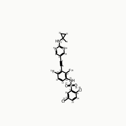 CC1(Nc2ncc(C#Cc3c(F)ccc(NS(=O)(=O)c4cc(Cl)ccc4Cl)c3F)cn2)CC1